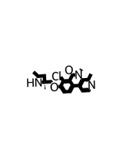 Cc1nccc2c3ccc(OC[C@]4(C)CC(C)N4)c(Cl)c3c(=O)n(C)c12